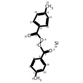 Cc1ccc(C(=O)OOC(=O)c2ccc(C)cc2)cc1.[Si]